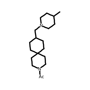 CC(=O)N1CCC2(CCC(CN3CCC(C)CC3)CC2)CC1